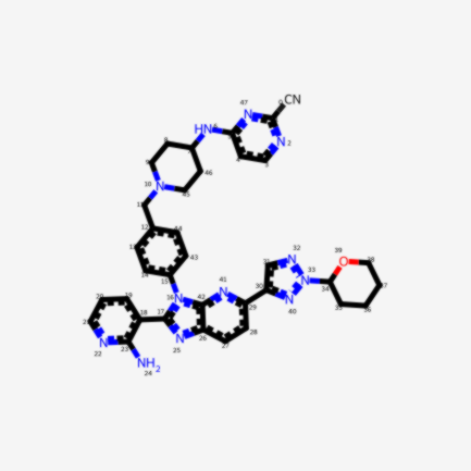 N#Cc1nccc(NC2CCN(Cc3ccc(-n4c(-c5cccnc5N)nc5ccc(-c6cnn(C7CCCCO7)n6)nc54)cc3)CC2)n1